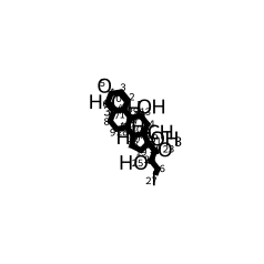 C[C@]12C=CC(=O)C=C1CC[C@@H]1[C@@H]2[C@@H](O)C[C@@]2(C)[C@H]1CC[C@]2(O)C(=O)C(O)CI